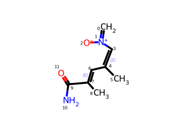 C=[N+]([O-])/C=C(C)\C=C(/C)C(N)=O